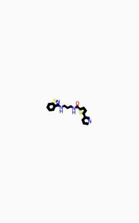 O=C(NCCCNc1nsc2ccccc12)c1ccc(-c2cccnc2)s1